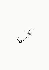 CNC(=O)Nc1nc(NCCSCc2ccc(CN(C)C)o2)n(C)n1